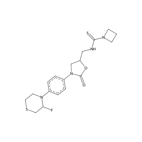 O=C1OC(CNC(=S)N2CCC2)CN1c1ccc(N2CCSCC2F)cc1